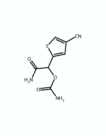 N#Cc1csc(C(OC(N)=O)C(N)=O)c1